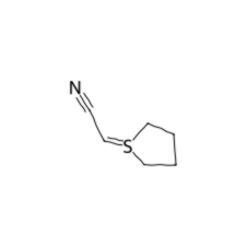 N#CC=S1CCCC1